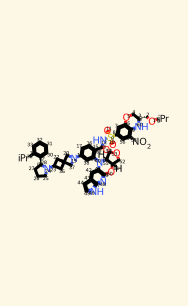 CC(C)OC[C@H]1COc2cc(S(=O)(=O)NC(=O)c3ccc(N4CC5(CC(N6CCC[C@H]6c6ccccc6C(C)C)C5)C4)cc3N3c4cc5cc[nH]c5nc4O[C@H]4COC[C@@H]43)cc([N+](=O)[O-])c2N1